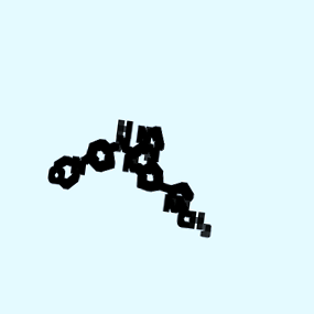 Cn1ccc(-c2ccc3nc(Nc4ccc(N5CCOCC5)cc4)c4nccn4c3c2)n1